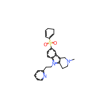 CN1CCc2c(c3cc(S(=O)(=O)C4=CCCC=C4)ccc3n2CCc2ccccn2)C1